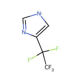 FC(F)(F)C(F)(F)C1=C[N]C=N1